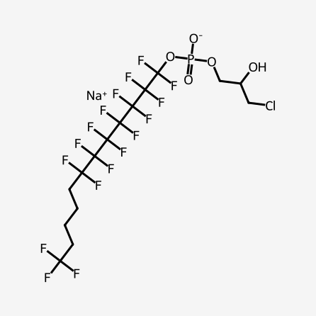 O=P([O-])(OCC(O)CCl)OC(F)(F)C(F)(F)C(F)(F)C(F)(F)C(F)(F)C(F)(F)C(F)(F)CCCCC(F)(F)F.[Na+]